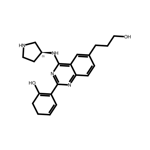 OCCCc1ccc2nc(C3=C(O)CCC=C3)nc(N[C@H]3CCNC3)c2c1